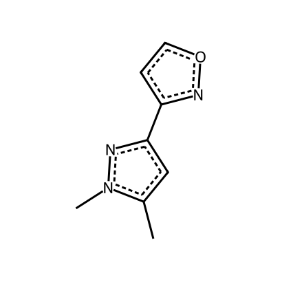 Cc1cc(-c2ccon2)nn1C